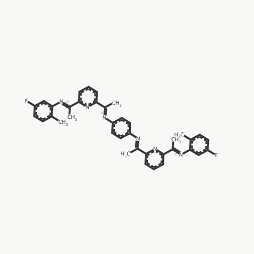 C/C(=N\c1ccc(/N=C(\C)c2cccc(/C(C)=N/c3cc(F)ccc3C)n2)cc1)c1cccc(/C(C)=N/c2cc(F)ccc2C)n1